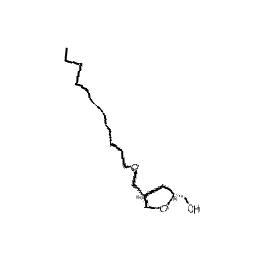 CCCCCCCCCCCCOC[C@@H]1CO[C@@H](CO)C1